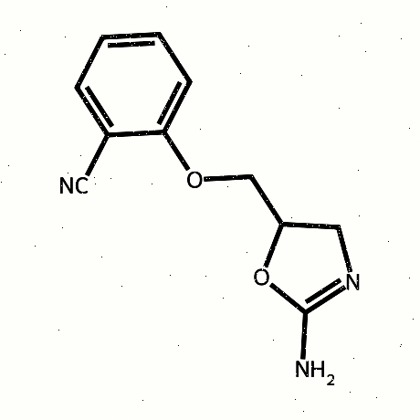 N#Cc1ccccc1OCC1CN=C(N)O1